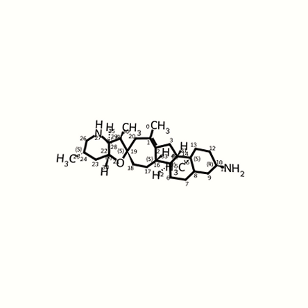 CC1=C2C[C@H]3[C@@H](CCC4C[C@H](N)CC[C@@]43C)[C@@H]2CC[C@@]2(C1)O[C@@H]1C[C@H](C)CN[C@H]1[C@H]2C